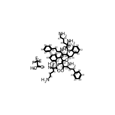 C[C@](N)(CCCN)C(=O)N1C(C(=O)[C@@H](N)CCc2ccccc2)=C(OC2=C(C(=O)[C@@H](N)CCc3ccccc3)N(C(=O)[C@@](C)(N)CCCN)c3ccccc3C2)Cc2ccccc21.O=C(O)C(F)(F)F